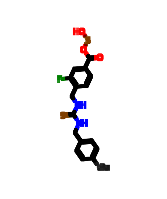 CC(C)(C)c1ccc(CNC(=S)NCc2ccc(C(=O)OSO)cc2F)cc1